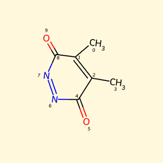 CC1=C(C)C(=O)N=NC1=O